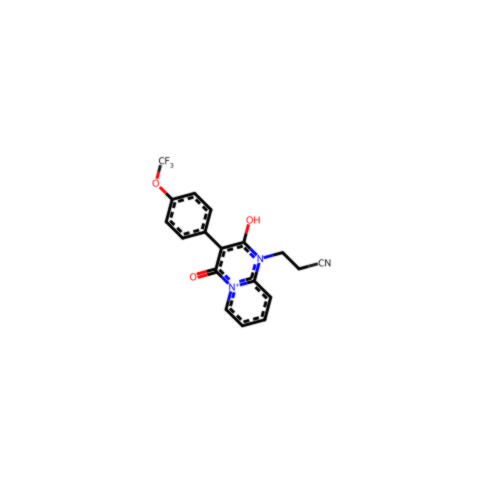 N#CCCn1c(O)c(-c2ccc(OC(F)(F)F)cc2)c(=O)[n+]2ccccc12